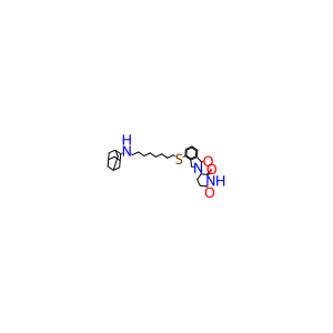 O=C1CCC(N2Cc3c(SCCCCCCCCNC4C5CC6CC(C5)CC4C6)cccc3C2=O)C(=O)N1